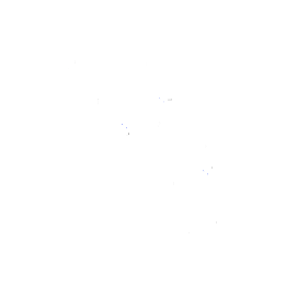 [O-][S+](Cc1ccccn1)c1nc2ccc(Cl)cc2[nH]1